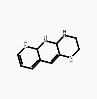 C1=CNC2NC3NCCNC3=CC2=C1